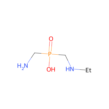 CCNCP(=O)(O)CN